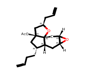 C=CCC[C@@H]1C[C@]2(OC(C)=O)C[C@@H](CC=C)O[C@@]23C[C@@H]2O[C@@H]2C[C@H]13